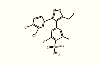 NS(=O)(=O)c1c(F)cc(-c2c(-c3ccc(Cl)c(Cl)c3)noc2CF)cc1F